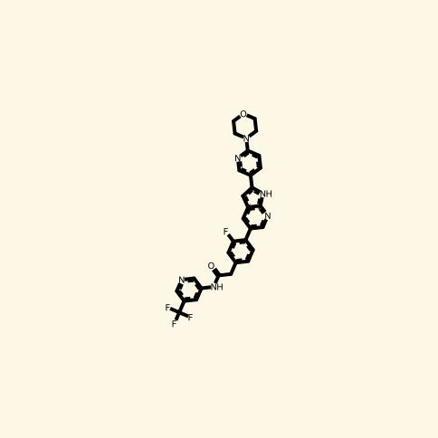 O=C(Cc1ccc(-c2cnc3[nH]c(-c4ccc(N5CCOCC5)nc4)cc3c2)c(F)c1)Nc1cncc(C(F)(F)F)c1